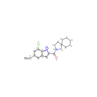 COc1cc(Cl)c2[nH]c(C(=O)N3CCC4(CCCCC4)C3)cc2c1